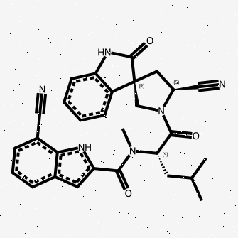 CC(C)C[C@@H](C(=O)N1C[C@]2(C[C@H]1C#N)C(=O)Nc1ccccc12)N(C)C(=O)c1cc2cccc(C#N)c2[nH]1